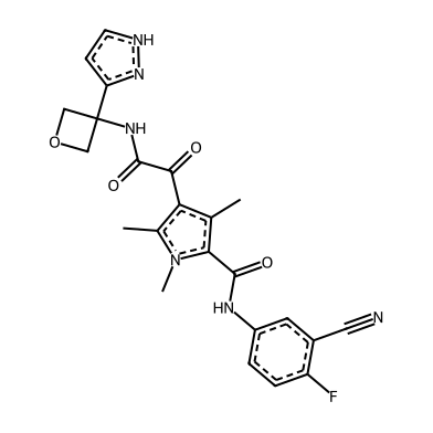 Cc1c(C(=O)C(=O)NC2(c3cc[nH]n3)COC2)c(C)n(C)c1C(=O)Nc1ccc(F)c(C#N)c1